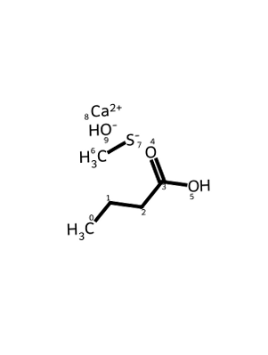 CCCC(=O)O.C[S-].[Ca+2].[OH-]